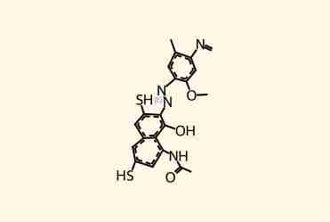 C=Nc1cc(OC)c(/N=N/c2c(S)cc3cc(S)cc(NC(C)=O)c3c2O)cc1C